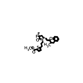 COC(=O)c1ccc(CCCN2C(=O)C(F)(F)C[C@@H]2C=C[C@H](O)[C@@H](C)Cc2ccccc2)s1